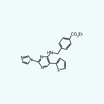 CCOC(=O)c1ccc(CNc2nc(-n3ccnc3)ncc2-c2cccs2)cc1